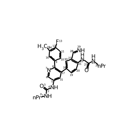 CCCNC(=O)Nc1cnc(-c2ccc(F)c(C)c2)c(-c2ccc(NC(=O)NCCC)c(C=N)c2)c1